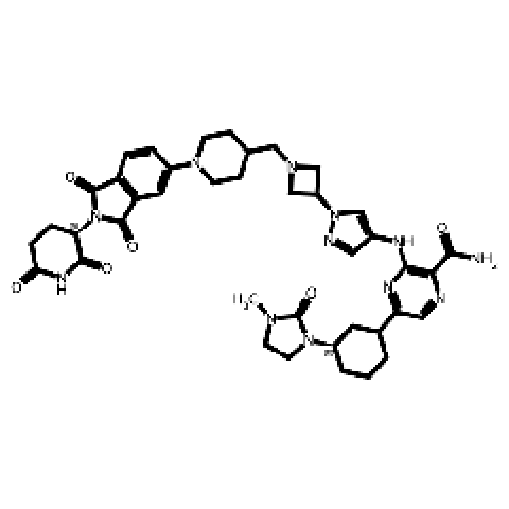 CN1CCN([C@@H]2CCCC(c3cnc(C(N)=O)c(Nc4cnn(C5CN(CC6CCN(c7ccc8c(c7)C(=O)N([C@@H]7CCC(=O)NC7=O)C8=O)CC6)C5)c4)n3)C2)C1=O